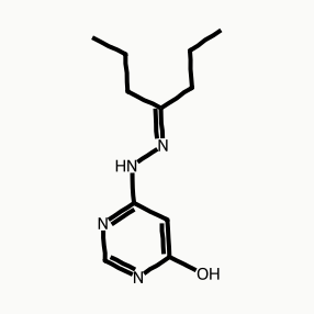 CCCC(CCC)=NNc1cc(O)ncn1